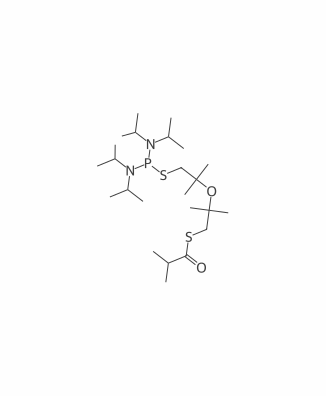 CC(C)C(=O)SCC(C)(C)OC(C)(C)CSP(N(C(C)C)C(C)C)N(C(C)C)C(C)C